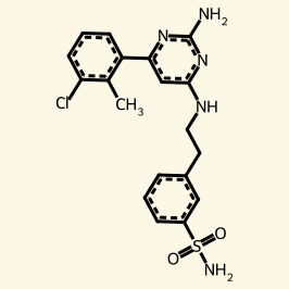 Cc1c(Cl)cccc1-c1cc(NCCc2cccc(S(N)(=O)=O)c2)nc(N)n1